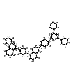 c1ccc(-c2nc(-c3ccccc3)nc(-c3ccc(-c4ccc5c(-c6ccc(-c7nc8ccccc8c8ccccc78)cc6)cccc5c4)cc3)n2)cc1